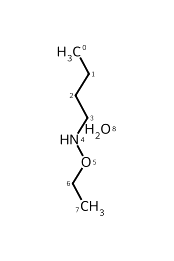 CCCCNOCC.O